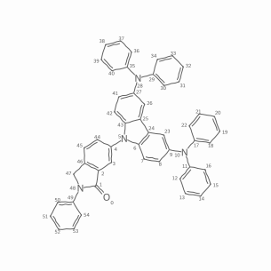 O=C1c2cc(-n3c4ccc(N(c5ccccc5)c5ccccc5)cc4c4cc(N(c5ccccc5)c5ccccc5)ccc43)ccc2CN1c1ccccc1